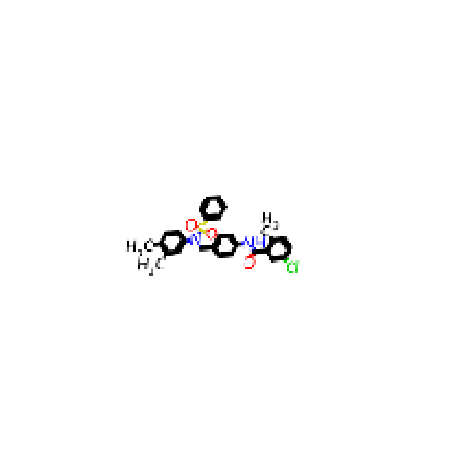 Cc1ccc(N(Cc2ccc(NC(=O)c3cc(Cl)ccc3C)cc2)S(=O)(=O)c2ccccc2)cc1C